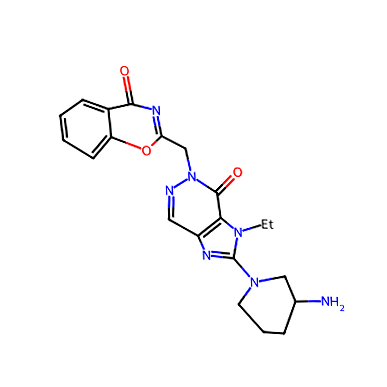 CCn1c(N2CCCC(N)C2)nc2cnn(Cc3nc(=O)c4ccccc4o3)c(=O)c21